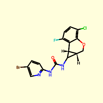 O=C(Nc1ccc(Br)cn1)NC1[C@H]2COc3c(Cl)ccc(F)c3[C@@H]12